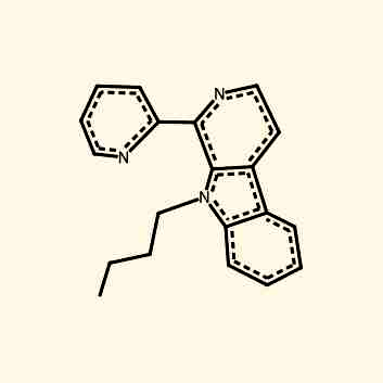 CCCCn1c2ccccc2c2ccnc(-c3ccccn3)c21